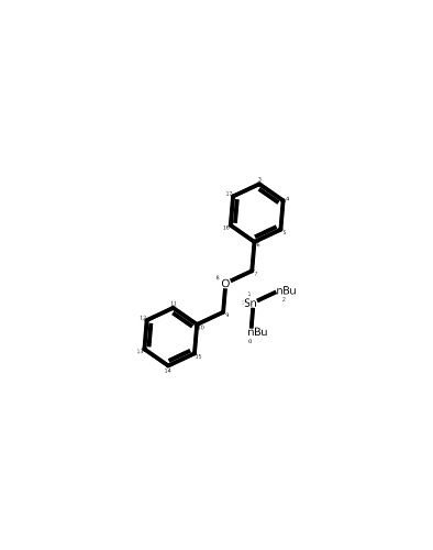 CCC[CH2][Sn][CH2]CCC.c1ccc(COCc2ccccc2)cc1